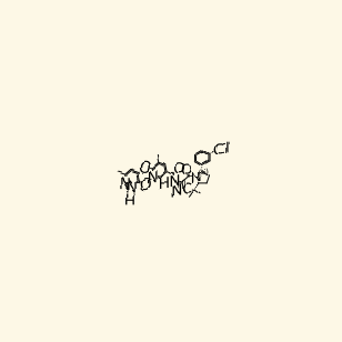 Cc1cc(Oc2ncc(C(=O)N[C@H](C)C(=O)N3C(C(C)(C)C#N)CC[C@H]3c3cccc(Cl)c3)cc2C)c(=O)[nH]n1